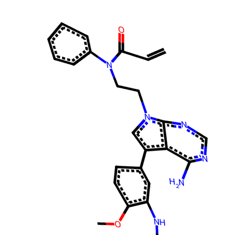 C=CC(=O)N(CCn1cc(-c2ccc(OC)c(NC)c2)c2c(N)ncnc21)c1ccccc1